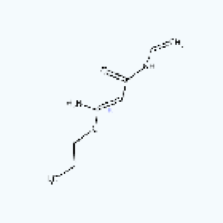 C=CNC(=O)/C=C(\N)OCCC